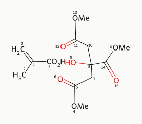 C=C(C)C(=O)O.COC(=O)CC(O)(CC(=O)OC)C(=O)OC